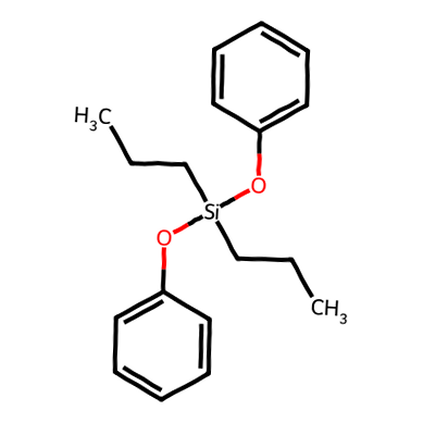 CCC[Si](CCC)(Oc1ccccc1)Oc1ccccc1